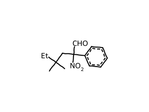 CCC(C)(C)CC(C=O)(c1ccccc1)[N+](=O)[O-]